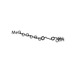 COCCOCCOCCOCCOCCOc1ccc(CCCCc2ccc(CC(=O)NO)cc2)cc1